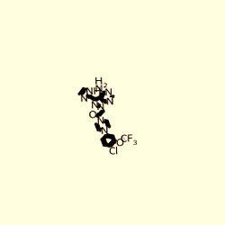 Nc1ncnc2c1c(-c1ncc[nH]1)nn2CC(=O)N1CCN(c2ccc(Cl)c(OC(F)(F)F)c2)CC1